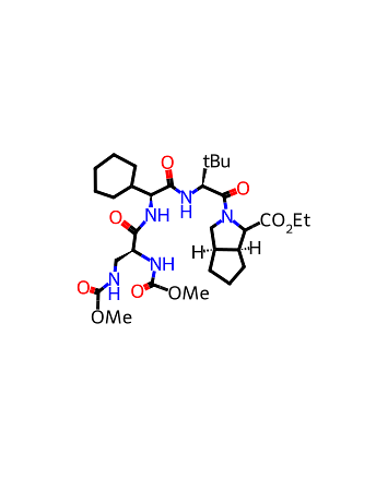 CCOC(=O)C1[C@H]2CCC[C@H]2CN1C(=O)[C@@H](NC(=O)[C@@H](NC(=O)[C@H](CNC(=O)OC)NC(=O)OC)C1CCCCC1)C(C)(C)C